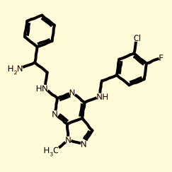 Cn1ncc2c(NCc3ccc(F)c(Cl)c3)nc(NCC(N)c3ccccc3)nc21